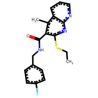 CCSc1nc2ncccc2c(C)c1C(=O)NCc1ccc(F)cc1